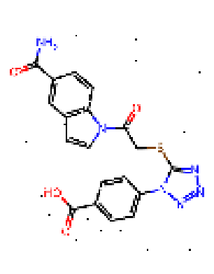 NC(=O)c1ccc2c(ccn2C(=O)CSc2nnnn2-c2ccc(C(=O)O)cc2)c1